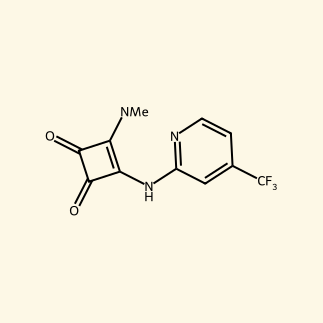 CNc1c(Nc2cc(C(F)(F)F)ccn2)c(=O)c1=O